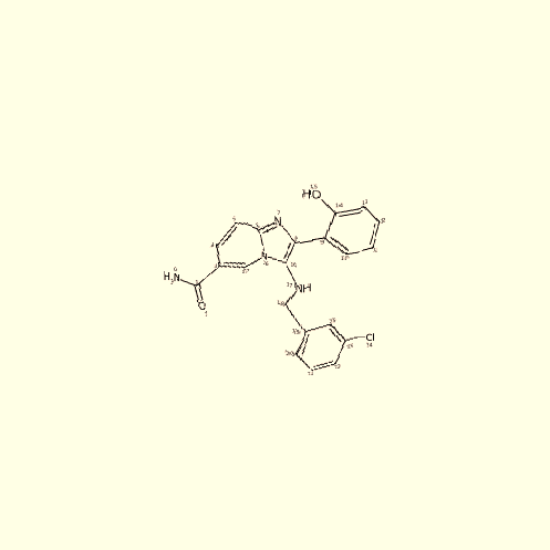 NC(=O)c1ccc2nc(-c3ccccc3O)c(NCc3cccc(Cl)c3)n2c1